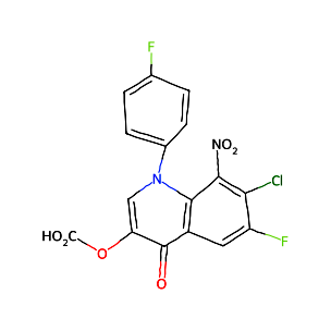 O=C(O)Oc1cn(-c2ccc(F)cc2)c2c([N+](=O)[O-])c(Cl)c(F)cc2c1=O